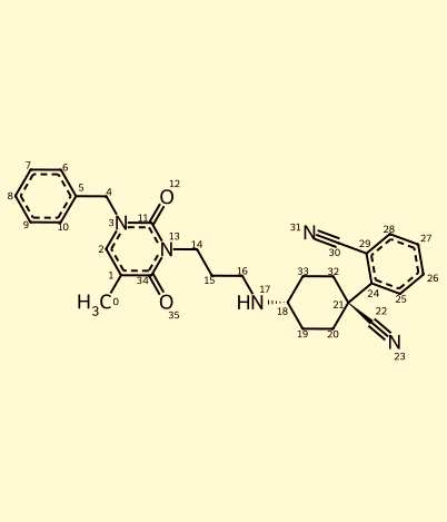 Cc1cn(Cc2ccccc2)c(=O)n(CCCN[C@H]2CC[C@@](C#N)(c3ccccc3C#N)CC2)c1=O